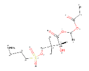 CCC(OC(=O)CC(C)C)OC(=O)[C@](C)(O)C(C)(C)COS(=O)(=O)CCCNC(C)=O